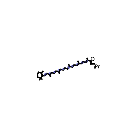 CC1=C(/C=C/C(C)=C/C=C/C(C)=C/C=C/C=C(C)/C=C/C=C(C)/C=C/C=C(\C)C(=O)CCC(C)C)C(C)(C)CCC1